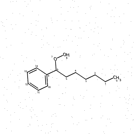 CCCCCCC(OO)c1ccccc1